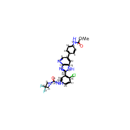 COC(=O)Nc1ccc(-c2cnc3nc(-c4cc(NC(=O)N5CC(F)(F)C5)ccc4Cl)[nH]c3c2)cc1